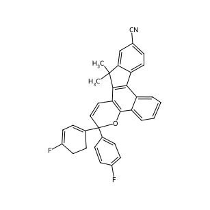 CC1(C)c2cc(C#N)ccc2-c2c1c1c(c3ccccc23)OC(C2=CC=C(F)CC2)(c2ccc(F)cc2)C=C1